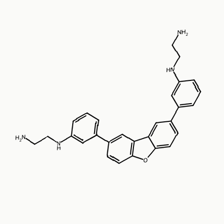 NCCNc1cccc(-c2ccc3oc4ccc(-c5cccc(NCCN)c5)cc4c3c2)c1